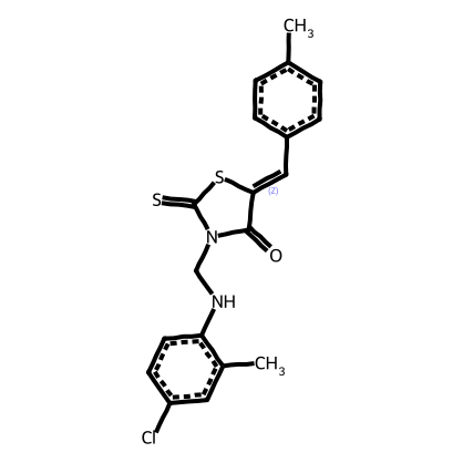 Cc1ccc(/C=C2\SC(=S)N(CNc3ccc(Cl)cc3C)C2=O)cc1